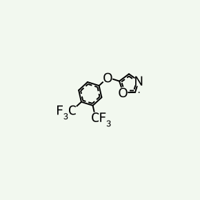 FC(F)(F)c1ccc(Oc2cn[c]o2)cc1C(F)(F)F